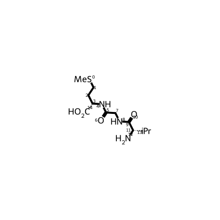 CSCC[C@H](NC(=O)CNC(=O)[C@@H](N)C(C)C)C(=O)O